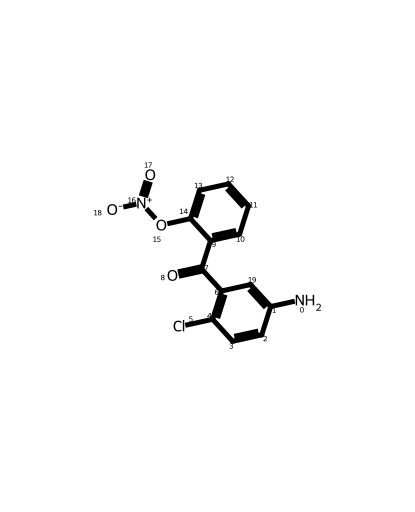 Nc1ccc(Cl)c(C(=O)c2ccccc2O[N+](=O)[O-])c1